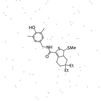 CCC1(CC)CCC2=C(C(=O)NCc3cc(C)c(O)c(C)c3)SC(SC)C2C1